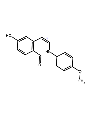 COC1=CCC(N/C=C\c2cc(O)ccc2C=O)C=C1